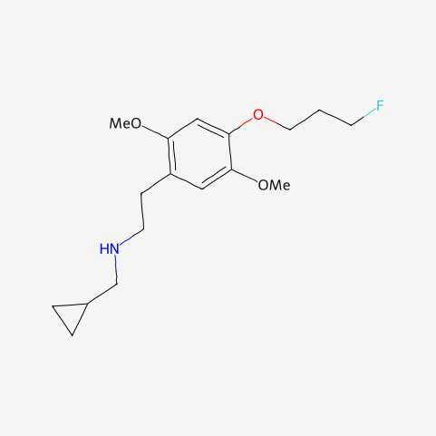 COc1cc(OCCCF)c(OC)cc1CCNCC1CC1